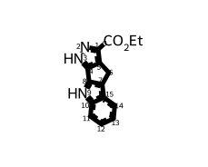 CCOC(=O)c1n[nH]c2c1Cc1c-2[nH]c2ccccc12